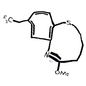 CO/C1=N/c2cc(C(F)(F)F)ccc2SCCC1